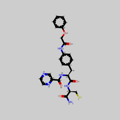 NC(=O)[C@H](CS)NC(=O)[C@H](Cc1ccc(NC(=O)COc2ccccc2)cc1)NC(=O)c1cnccn1